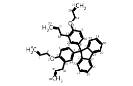 C=CCOc1ccc(C2(c3ccc(OCC=C)c(CC=C)c3)c3ccccc3-c3ccccc32)cc1CC=C